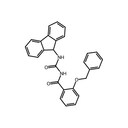 O=C(NC(=O)c1ccccc1OCc1ccccc1)NC1c2ccccc2-c2ccccc21